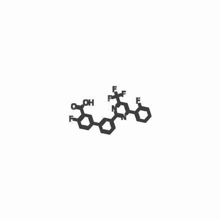 O=C(O)c1cc(-c2cccc(-c3nc(C4=CCCC=C4F)cc(C(F)(F)F)n3)c2)ccc1F